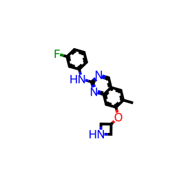 Cc1cc2cnc(Nc3cccc(F)c3)nc2cc1OC1CNC1